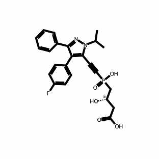 CC(C)n1nc(-c2ccccc2)c(-c2ccc(F)cc2)c1C#CP(=O)(O)C[C@@H](O)CC(=O)O